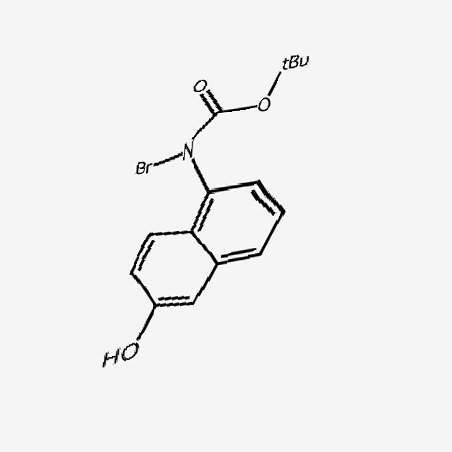 CC(C)(C)OC(=O)N(Br)c1cccc2cc(O)ccc12